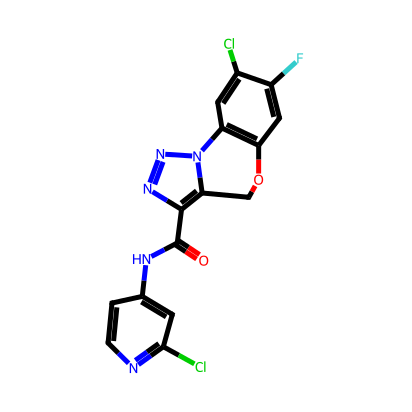 O=C(Nc1ccnc(Cl)c1)c1nnn2c1COc1cc(F)c(Cl)cc1-2